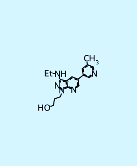 CCNc1nn(CCCO)c2ncc(-c3cncc(C)c3)cc12